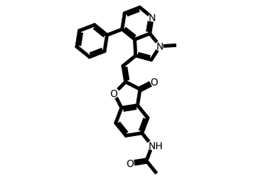 CC(=O)Nc1ccc2c(c1)C(=O)C(=Cc1cn(C)c3nccc(-c4ccccc4)c13)O2